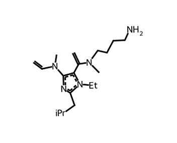 C=CN(C)c1nc(CC(C)C)n(CC)c1C(=C)N(C)CCCCN